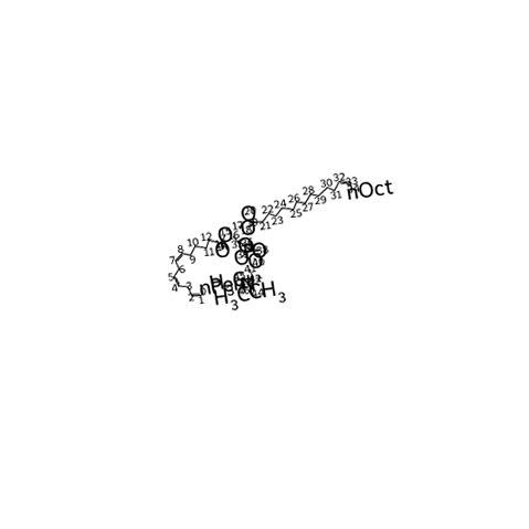 CCCCC/C=C\C/C=C\C/C=C\CCCCC(=O)O[C@H](COC(=O)CCCCCCCCCCC/C=C\CCCCCCCC)COP(=O)([O-])OCC[N+](C)(C)C